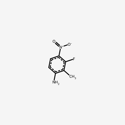 Cc1c(N)ccc([N+](=O)[O-])c1F